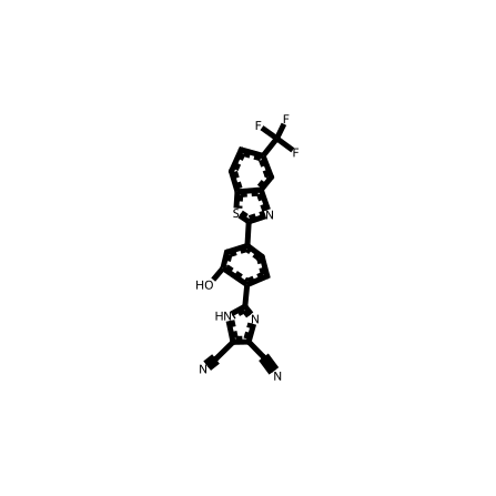 N#Cc1nc(-c2ccc(-c3nc4cc(C(F)(F)F)ccc4s3)cc2O)[nH]c1C#N